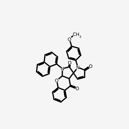 COc1ccc(N2C(=O)C=CC23C(=O)N(c2cccc4ccccc24)C2Oc4ccccc4C(=O)C23)cc1